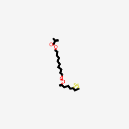 C=C(CCCC1CCSS1)OOCCCCCCCCCCOC(=O)C(=C)C